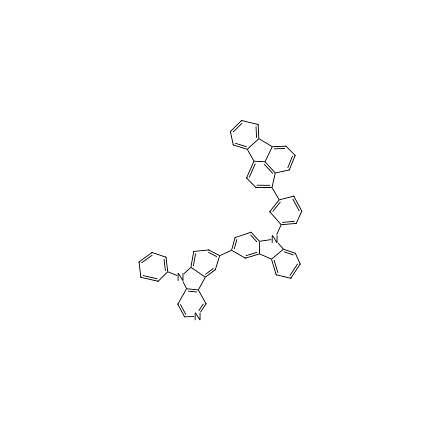 c1ccc(-n2c3ccncc3c3cc(-c4ccc5c(c4)c4ccccc4n5-c4cccc(-c5ccc6c7c(cccc57)-c5ccccc5-6)c4)ccc32)cc1